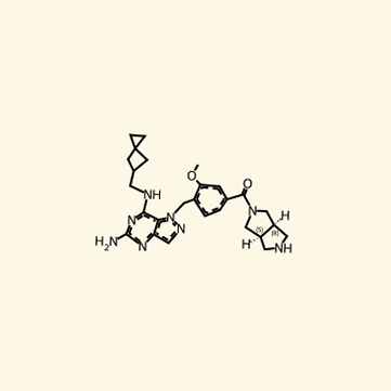 COc1cc(C(=O)N2C[C@H]3CNC[C@H]3C2)ccc1Cn1ncc2nc(N)nc(NCC3CC4(CC4)C3)c21